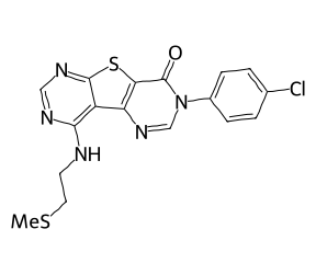 CSCCNc1ncnc2sc3c(=O)n(-c4ccc(Cl)cc4)cnc3c12